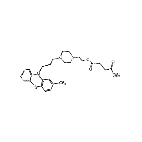 COC(=O)CCC(=O)OCCN1CCN(CCCN2c3ccccc3Sc3ccc(C(F)(F)F)cc32)CC1